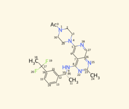 CC(=O)N1CCN(c2cc3c(N[C@H](C)c4cccc(C(C)(F)F)c4)nc(C)nc3cn2)CC1